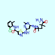 Cc1nc(NC(=O)C(C)(C)CC(C)(C)C(N)=O)cc(Nc2ncc(C(=O)Nc3c(C)cccc3Cl)s2)n1